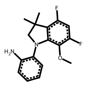 COc1c(F)cc(F)c2c1N(c1ccccc1N)CC2(C)C